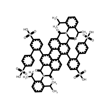 CC(C)c1cccc(C(C)C)c1N1C(=O)c2ccc3c4c(-c5ccc(S(=O)(=O)O)cc5-c5ccc(S(=O)(=O)O)cc5)cc5c6c(ccc(c7c(-c8ccc(S(=O)(=O)O)cc8-c8ccc(S(=O)(=O)O)cc8)cc(c2c37)C1=O)c64)C(=O)N(c1c(C(C)C)cccc1C(C)C)C5=O